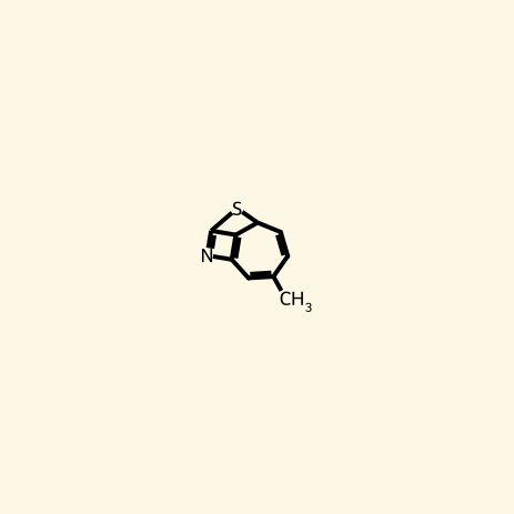 CC1=CC2=C3C(=N2)SC3C=C1